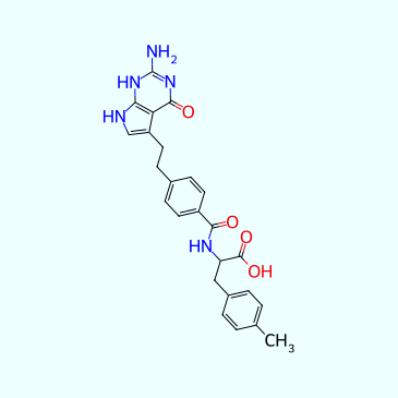 Cc1ccc(CC(NC(=O)c2ccc(CCc3c[nH]c4[nH]c(N)nc(=O)c34)cc2)C(=O)O)cc1